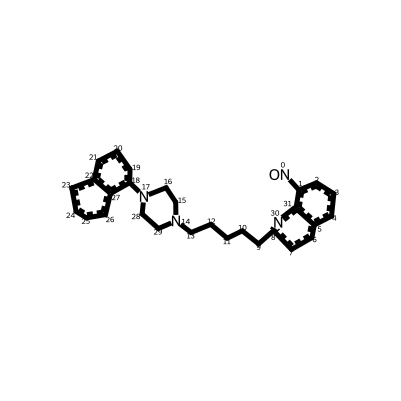 O=Nc1cccc2ccc(CCCCCN3CCN(c4cccc5ccccc45)CC3)nc12